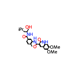 COc1cc2cc(C(=O)Nc3cc(C(=O)NC(CO)CC(C)C)ccc3C)c(=O)[nH]c2cc1OC